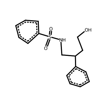 O=S(=O)(NCC(CCO)c1ccccc1)c1ccccc1